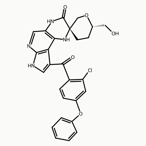 O=C(c1ccc(Oc2ccccc2)cc1Cl)c1c[nH]c2ncc3c(c12)N[C@]1(CC[C@@H](CO)OC1)C(=O)N3